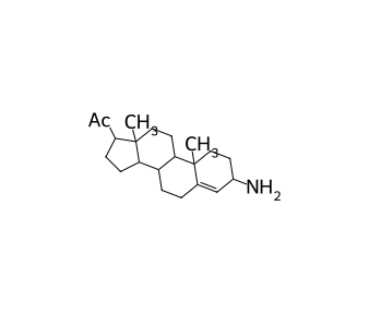 CC(=O)C1CCC2C3CCC4=CC(N)CCC4(C)C3CCC12C